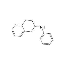 c1ccc(NC2CCc3ccccc3C2)cc1